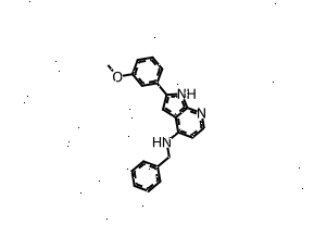 COc1cccc(-c2cc3c(NCc4ccccc4)ccnc3[nH]2)c1